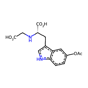 CC(=O)Oc1ccc2[nH]cc(C[C@H](NCC(=O)O)C(=O)O)c2c1